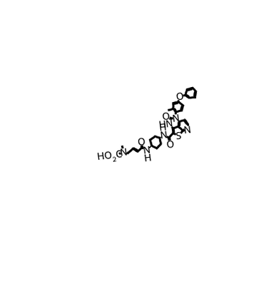 Cc1cc(Oc2ccccc2)ccc1N1C(=O)Nc2c(C(=O)N[C@H]3CC[C@H](NC(=O)/C=C/CN(C)C(=O)O)CC3)sc3nccc1c23